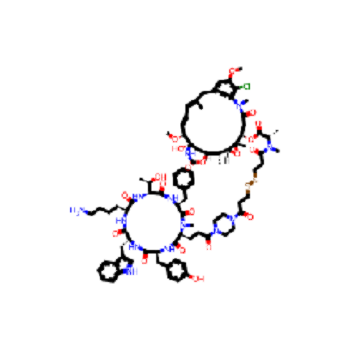 COc1cc2cc(c1Cl)N(C)C(=O)C[C@H](OC(=O)[C@H](C)N(C)C(=O)CCSSCCC(=O)N1CCN(C(=O)CC[C@H]3C(=O)N[C@@H](Cc4ccc(O)cc4)C(=O)N[C@H](Cc4c[nH]c5ccccc45)C(=O)N[C@@H](CCCCN)C(=O)N[C@@H]([C@@H](C)O)C(=O)N[C@@H](Cc4ccccc4)C(=O)N3C)CC1)[C@]1(C)O[C@H]1[C@H](C)[C@@H]1C[C@@](O)(NC(=O)O1)[C@H](OC)/C=C/C=C(\C)C2